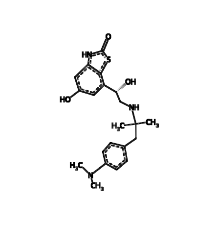 CN(C)c1ccc(CC(C)(C)NC[C@@H](O)c2cc(O)cc3[nH]c(=O)sc23)cc1